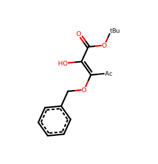 CC(=O)C(OCc1ccccc1)=C(O)C(=O)OC(C)(C)C